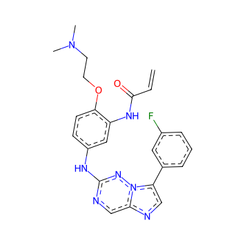 C=CC(=O)Nc1cc(Nc2ncc3ncc(-c4cccc(F)c4)n3n2)ccc1OCCN(C)C